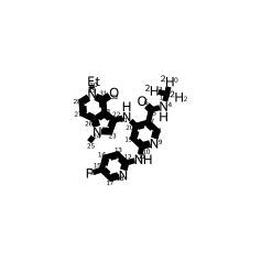 [2H]C([2H])([2H])NC(=O)c1cnc(Nc2ccc(F)cn2)cc1Nc1cn(C)c2ccn(CC)c(=O)c12